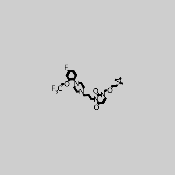 C[Si](C)(C)CCOCn1ccc(=O)n(CCCN2CCN(c3ccc(F)cc3OCC(F)(F)F)CC2)c1=O